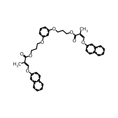 CC(=COc1ccc2ccccc2c1)C(=O)OCCCOc1cccc(OCCCOC(=O)C(C)=COc2ccc3ccccc3c2)c1